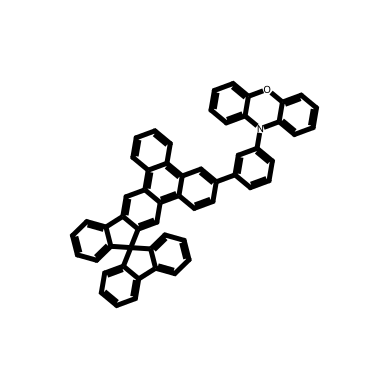 c1cc(-c2ccc3c(c2)c2ccccc2c2cc4c(cc32)C2(c3ccccc3-c3ccccc32)c2ccccc2-4)cc(N2c3ccccc3Oc3ccccc32)c1